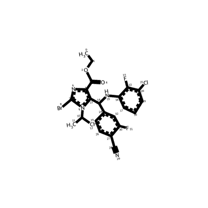 CCOC(=O)c1nc(Br)n(C(C)C)c1C(Nc1cccc(Cl)c1F)c1ccc(C#N)c(F)c1